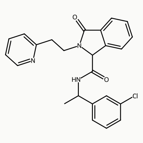 CC(NC(=O)C1c2ccccc2C(=O)N1CCc1ccccn1)c1cccc(Cl)c1